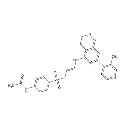 CC(=O)Nc1ccc(S(=O)(=O)CC=CNc2nc(-c3ccncc3C)cc3cnccc23)cc1